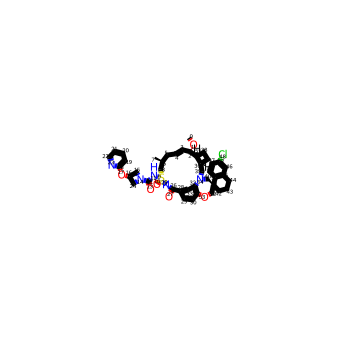 CO[C@H]1/C=C/C[C@H](C)CS(=O)(NC(=O)N2CC(Oc3ccccn3)C2)=NC(=O)c2ccc3c(c2)N(C[C@@H]2CC[C@H]21)C[C@@]1(CCCc2cc(Cl)ccc21)CO3